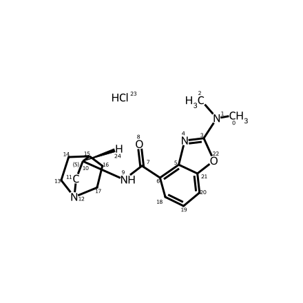 CN(C)c1nc2c(C(=O)N[C@@H]3CN4CCC3CC4)cccc2o1.Cl